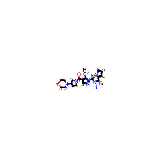 Cc1c(C(=O)N2CCC(N3CCOCC3)C2)cnn1-c1nn2cccc2c(=O)[nH]1